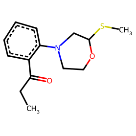 CCC(=O)c1ccccc1N1CCOC(SC)C1